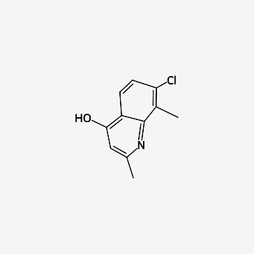 Cc1cc(O)c2ccc(Cl)c(C)c2n1